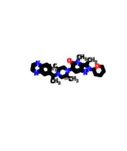 Cc1c2c(cc(N3C[C@@H](C)N(C(C)c4ccc5nccnc5c4)C[C@@H]3C)c(=O)n2C)nn1C1CCCCO1